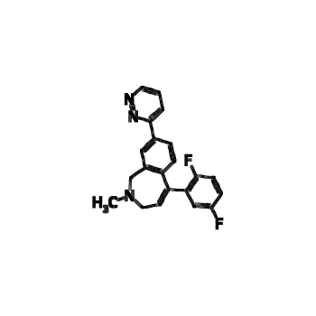 CN1CC=C(c2cc(F)ccc2F)c2ccc(-c3cccnn3)cc2C1